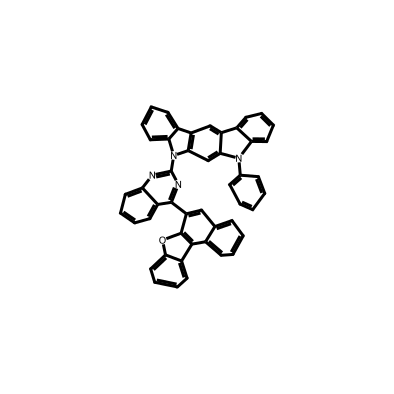 c1ccc(-n2c3ccccc3c3cc4c5ccccc5n(-c5nc(-c6cc7ccccc7c7c6oc6ccccc67)c6ccccc6n5)c4cc32)cc1